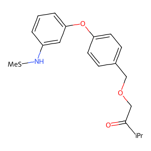 CSNc1cccc(Oc2ccc(COCC(=O)C(C)C)cc2)c1